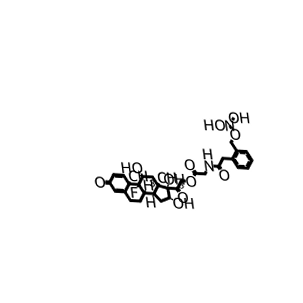 C[C@]12C=CC(=O)C=C1CC[C@H]1[C@@H]3C[C@@H](O)[C@](O)(C(=O)COC(=O)CNC(=O)Cc4ccccc4CON(O)O)[C@@]3(C)C[C@H](O)[C@@]12F